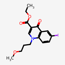 CCOC(=O)c1cn(CCCOC)c2ccc(I)cc2c1=O